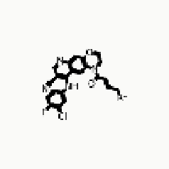 N#Cc1cnc2cc3c(cc2c1Nc1ccc(F)c(Cl)c1)N(C(=O)C=CCBr)CCO3